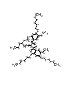 CCCCCCOc1cc(OCCCCCC)c(S(=O)(=O)C(=[N+]=[N-])S(=O)(=O)c2cc(CC)c(OCCCCCC)cc2OCCCCCC)cc1CC